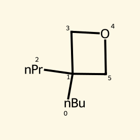 CCCCC1(CCC)COC1